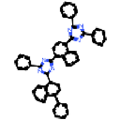 c1ccc(-c2nc(-c3ccccc3)nc(-c3ccc(-c4nc(-c5ccccc5)nc(-c5ccc(-c6ccccc6)c6ccccc56)n4)c4ccccc34)n2)cc1